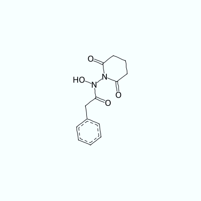 O=C(Cc1ccccc1)N(O)N1C(=O)CCCC1=O